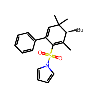 CCC(C)[C@H]1C(C)=C(S(=O)(=O)n2cccc2)C(c2ccccc2)=CC1(C)C